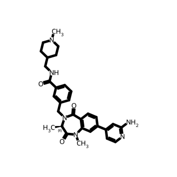 C[C@@H]1C(=O)N(C)c2cc(-c3ccnc(N)c3)ccc2C(=O)N1Cc1cccc(C(=O)NCC2CCN(C)CC2)c1